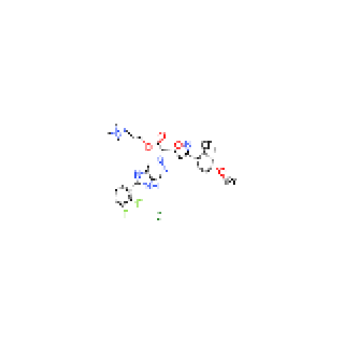 CCCOc1ccc(-c2cc(C(C(=O)OCCC[N+](C)(C)C)N3Cc4nc(-c5cccc(F)c5F)[nH]c4C=N3)on2)c(C(F)(F)F)c1.[Cl-]